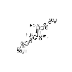 NC(=O)Nc1ccc(/N=N/c2ccc(S(=O)(=O)CCOS(=O)(=O)O)cc2)c(N)c1C/N=N/c1ccc(S(=O)(=O)CCOS(=O)(=O)O)cc1S(=O)(=O)O